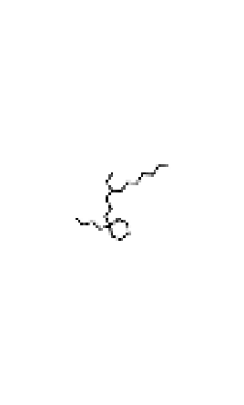 CCCCCCCC(CC)CCCC1(CCCC)CCCCC1